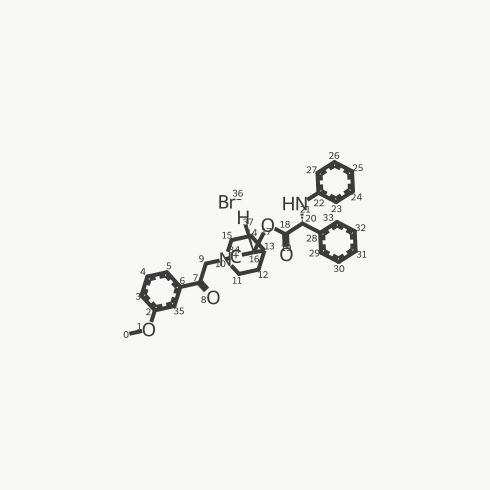 COc1cccc(C(=O)C[N+]23CCC(CC2)[C@@H](OC(=O)[C@H](Nc2ccccc2)c2ccccc2)C3)c1.[Br-]